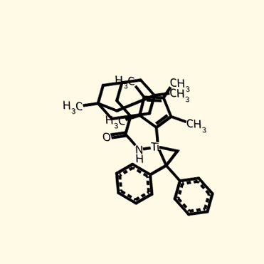 CC1=C(C)C(C)[C]([Ti]2([NH]C(=O)C34CC5CC(C)(CC(C)(C5)C3)C4)[CH2][C]2(c2ccccc2)c2ccccc2)=C1C